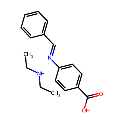 CCNCC.O=C(O)c1ccc(N=Cc2ccccc2)cc1